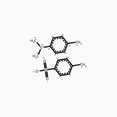 Cc1ccc(S(=O)(=O)[O-])cc1.Cc1ccc([S+](C)C)cc1